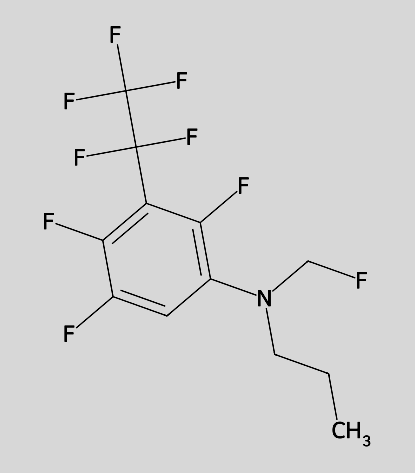 CCCN(CF)c1cc(F)c(F)c(C(F)(F)C(F)(F)F)c1F